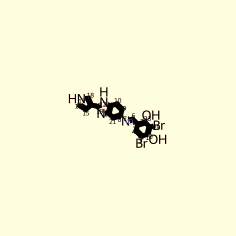 Oc1c(Br)cc(/C=N/c2ccc3[nH]c(-c4cc[nH]c4)nc3c2)c(O)c1Br